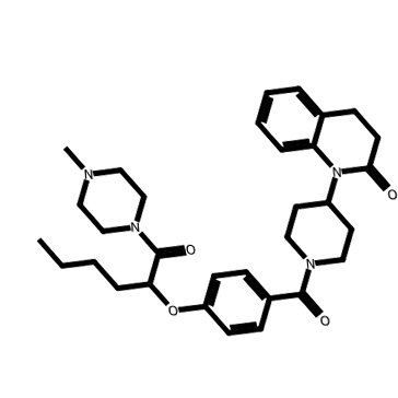 CCCCC(Oc1ccc(C(=O)N2CCC(N3C(=O)CCc4ccccc43)CC2)cc1)C(=O)N1CCN(C)CC1